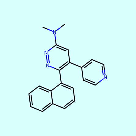 CN(C)c1cc(-c2ccncc2)c(-c2cccc3ccccc23)nn1